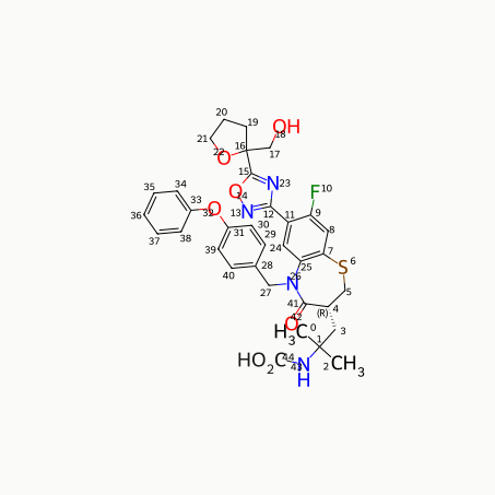 CC(C)(C[C@H]1CSc2cc(F)c(-c3noc(C4(CO)CCCO4)n3)cc2N(Cc2ccc(Oc3ccccc3)cc2)C1=O)NC(=O)O